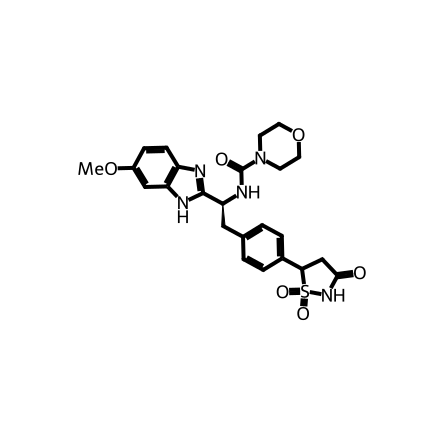 COc1ccc2nc([C@H](Cc3ccc(C4CC(=O)NS4(=O)=O)cc3)NC(=O)N3CCOCC3)[nH]c2c1